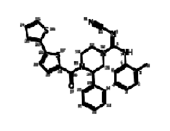 Cc1ccccc1N/C(=N/C#N)N1CCN(C(=O)c2ccc(-c3cccs3)s2)C(c2ccccc2)C1